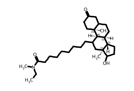 CCN(C)C(=O)CCCCCCCCC1C[C@]2(C)C(O)CC[C@H]2[C@@H]2CCC3CC(=O)CC[C@]3(C)[C@H]12